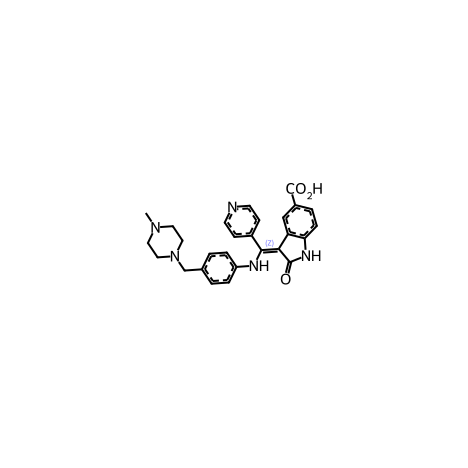 CN1CCN(Cc2ccc(N/C(=C3\C(=O)Nc4ccc(C(=O)O)cc43)c3ccncc3)cc2)CC1